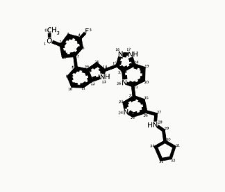 COc1cc(F)cc(-c2cccc3[nH]c(-c4n[nH]c5ccc(-c6cncc(CNCC7CCCC7)c6)nc45)cc23)c1